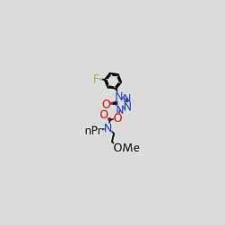 CCCN(CCOC)C(=O)On1nnn(-c2cccc(F)c2)c1=O